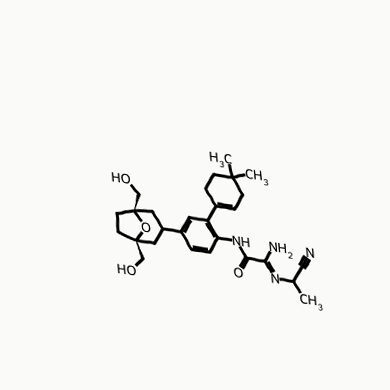 CC(C#N)/N=C(\N)C(=O)Nc1ccc(C2C[C@]3(CO)CC[C@](CO)(C2)O3)cc1C1=CCC(C)(C)CC1